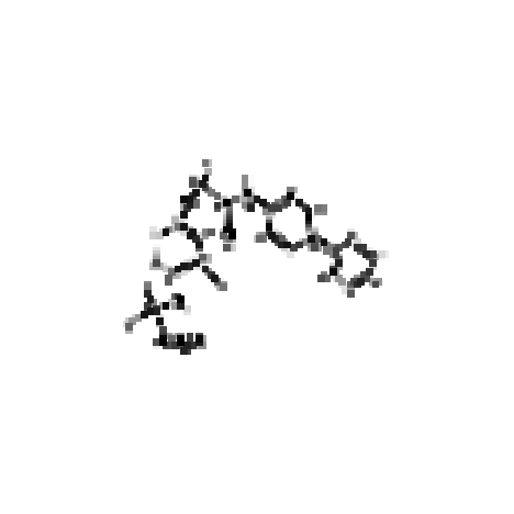 CCOC(=O)C(C)(C)Oc1ccc(OC(C)C(=O)Nc2ccc(-c3ccccc3)cc2)cc1C